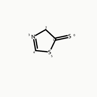 S=C1CN=CS1